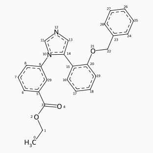 CCOC(=O)c1cccc(-n2cncc2-c2ccccc2OCc2ccccc2)c1